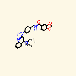 CN(C)c1cc(NC2CCC(CNC(=O)c3ccc4c(c3)OCO4)CC2)nc2ccccc12